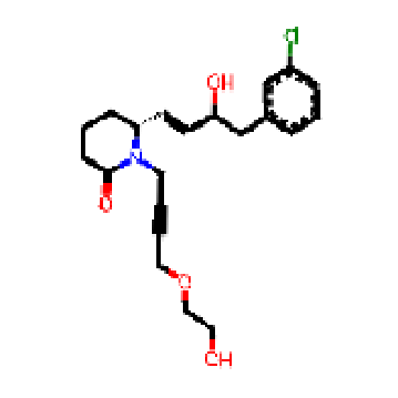 O=C1CCC[C@H](C=CC(O)Cc2cccc(Cl)c2)N1CC#CCOCCO